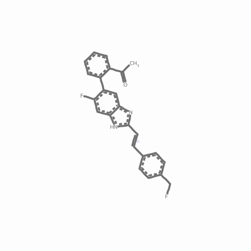 CC(=O)c1ccccc1-c1cc2nc(/C=C/c3ccc(CF)cc3)[nH]c2cc1F